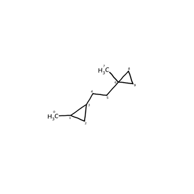 CC1CC1CCC1(C)CC1